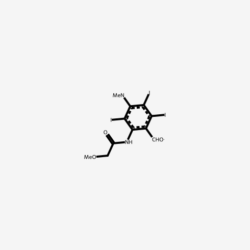 CNc1c(I)c(I)c([C]=O)c(NC(=O)COC)c1I